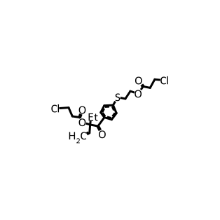 C=CC(CC)(OC(=O)CCCl)C(=O)c1ccc(SCCOC(=O)CCCl)cc1